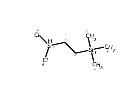 C[Si](C)(C)CC[SiH](Cl)Cl